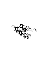 CCOC(=O)c1cnn(C2CCCN(c3cc(Cl)ccc3-c3ccc(N4CCN(C(=O)C(C)C)CC4)cc3)C2)c1C(F)(F)F